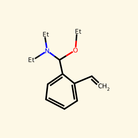 C=Cc1ccccc1C(OCC)N(CC)CC